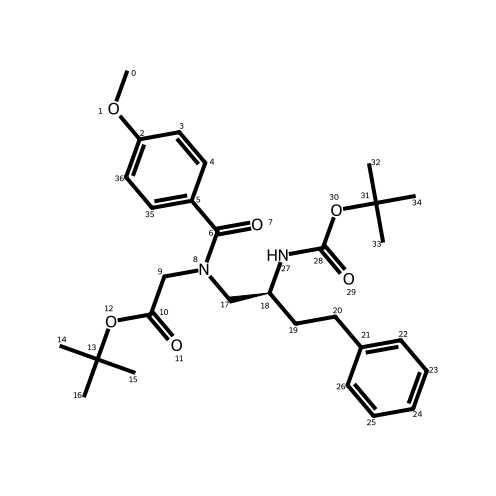 COc1ccc(C(=O)N(CC(=O)OC(C)(C)C)C[C@H](CCc2ccccc2)NC(=O)OC(C)(C)C)cc1